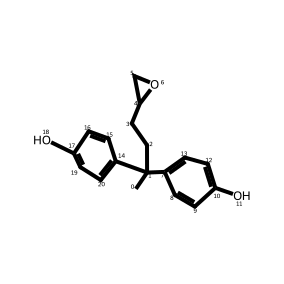 CC(CCC1CO1)(c1ccc(O)cc1)c1ccc(O)cc1